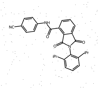 CC(C)c1cccc(C(C)C)c1N1C(=O)c2cccc(C(=O)Nc3ccc(C#N)cc3)c2C1=O